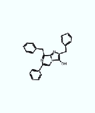 Oc1c(Cc2ccccc2)nc2c(Cc3ccccc3)nc(-c3ccccc3)cn12